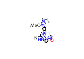 COCC1CN(C)CCN1c1ccc(Nc2ncc(C#N)c(Nc3cccc(N4CCCC4=O)n3)n2)cc1